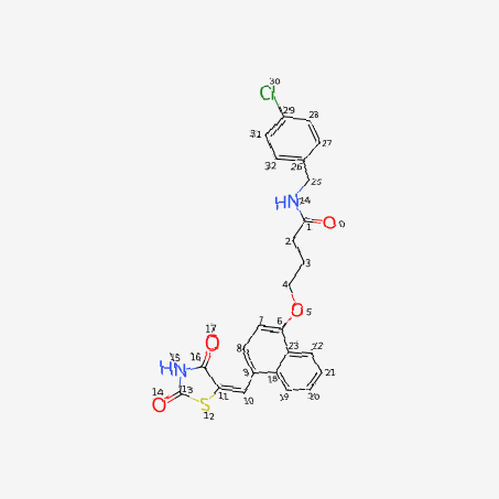 O=C(CCCOc1ccc(/C=C2/SC(=O)NC2=O)c2ccccc12)NCc1ccc(Cl)cc1